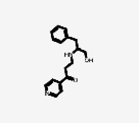 O=C(CCNC(CO)Cc1ccccc1)c1ccncc1